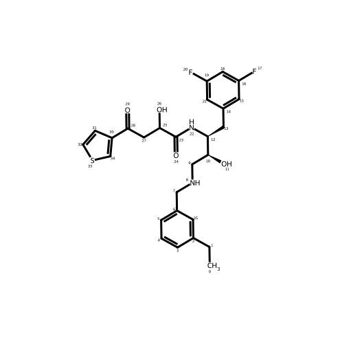 CCc1cccc(CNC[C@H](O)[C@H](Cc2cc(F)cc(F)c2)NC(=O)C(O)CC(=O)c2ccsc2)c1